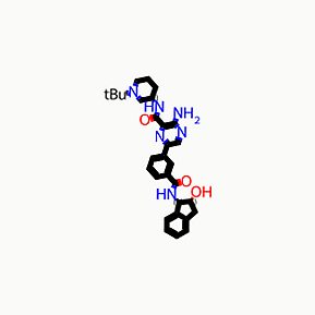 CC(C)(C)N1CCC[C@@H](NC(=O)c2nc(-c3cccc(C(=O)N[C@@H]4c5ccccc5C[C@@H]4O)c3)cnc2N)C1